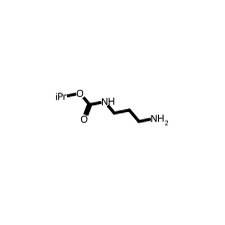 CC(C)OC(=O)NCCCN